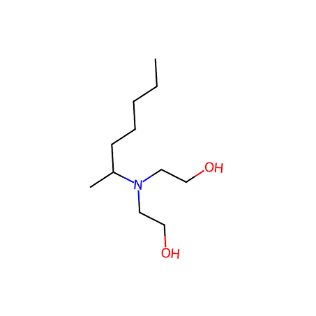 CCCCCC(C)N(CCO)CCO